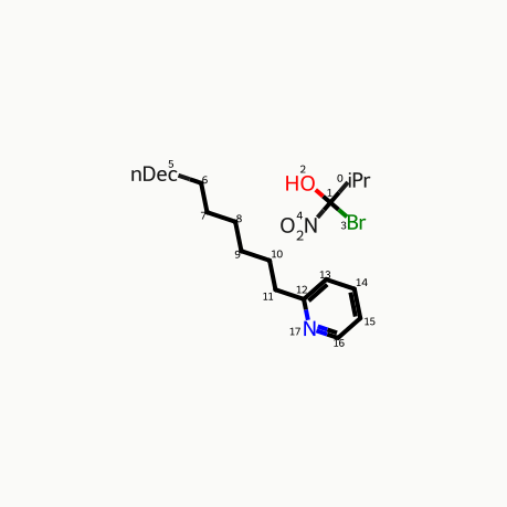 CC(C)C(O)(Br)[N+](=O)[O-].CCCCCCCCCCCCCCCCc1ccccn1